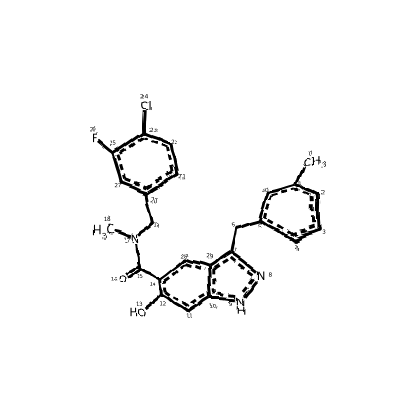 Cc1cccc(Cc2n[nH]c3cc(O)c(C(=O)N(C)Cc4ccc(Cl)c(F)c4)cc23)c1